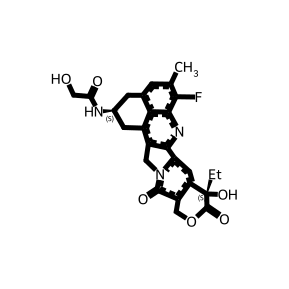 CC[C@@]1(O)C(=O)OCc2c1cc1n(c2=O)Cc2c-1nc1c(F)c(C)cc3c1c2C[C@@H](NC(=O)CO)C3